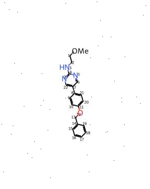 COCCNc1ncc(-c2ccc(OCc3ccccc3)cc2)cn1